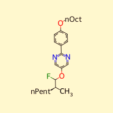 CCCCCCCCOc1ccc(-c2ncc(OC(F)[C@@H](C)CCCCC)cn2)cc1